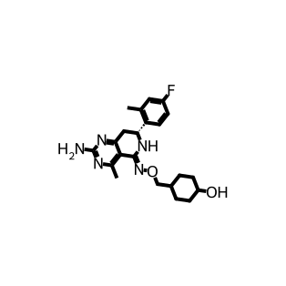 Cc1cc(F)ccc1[C@H]1Cc2nc(N)nc(C)c2/C(=N/OCC2CCC(O)CC2)N1